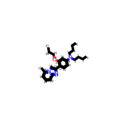 CCCCN(CCCC)c1ccc(-c2cn3c(C)cccc3n2)c(OCCC)c1